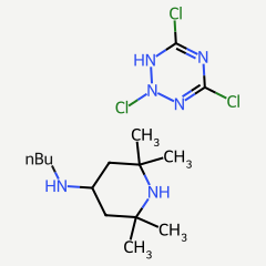 CCCCNC1CC(C)(C)NC(C)(C)C1.ClC1=NN(Cl)NC(Cl)=N1